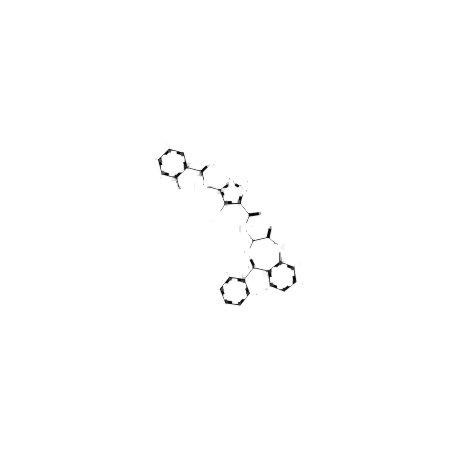 Cc1c(C(=O)NC2N=C(c3ccccc3)c3ccccc3NC2=O)n[nH]c1NC(=O)c1ccccc1Cl